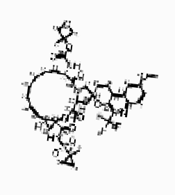 COc1ccc2nc(C(F)(F)F)c3c(c2c1)CC[C@]1(C[C@H]2C(=O)N[C@]4(C(=O)NS(=O)(=O)C5(C)CC5)C[C@H]4/C=C\CCCCC[C@H](NC(=O)OC4(C)COC4)C(=O)N2C1)O3